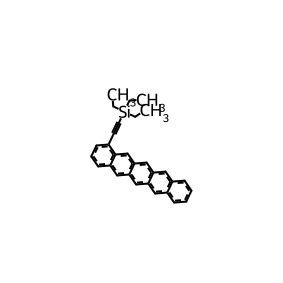 CC[Si](C#Cc1cccc2cc3cc4cc5ccccc5cc4cc3cc12)(CC)CC